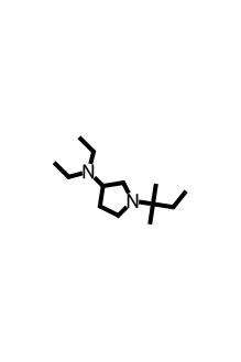 CCN(CC)C1CCN(C(C)(C)CC)C1